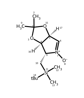 CC1(C)O[C@H]2[C@H](C=[N+]([O-])[C@@H]2C[Si](C)(C)C(C)(C)C)O1